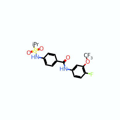 CC(C)S(=O)(=O)Nc1ccc(C(=O)Nc2ccc(F)c(OC(F)(F)F)c2)cc1